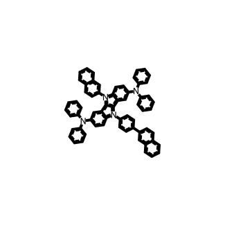 c1ccc(N(c2ccccc2)c2ccc3c(c2)c2c(c4cc(N(c5ccccc5)c5ccccc5)ccc4n2-c2ccc(-c4ccc5ccccc5c4)cc2)n3-c2ccc3ccccc3c2)cc1